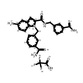 NC(=S)c1cccc(CNC(=O)c2cc3cc(N)ccc3n2Cc2cccc(C(N)=S)c2)c1.O=C(O)C(F)(F)F